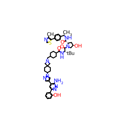 Cc1ncsc1-c1ccc([C@H](C)NC(=O)[C@@H]2C[C@@H](O)CN2C(=O)[C@@H](NC(=O)C2CCC(CN3CC4(CCC(n5cc(-c6cc(-c7ccccc7O)nnc6N)cn5)CC4)C3)CC2)C(C)(C)C)cc1